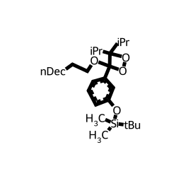 CCCCCCCCCCCCOC1(c2cccc(O[Si](C)(C)C(C)(C)C)c2)OOC1(C(C)C)C(C)C